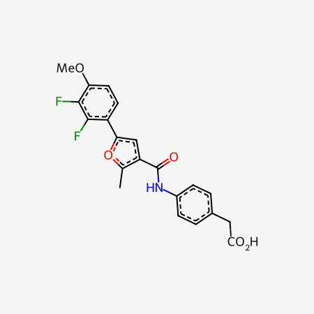 COc1ccc(-c2cc(C(=O)Nc3ccc(CC(=O)O)cc3)c(C)o2)c(F)c1F